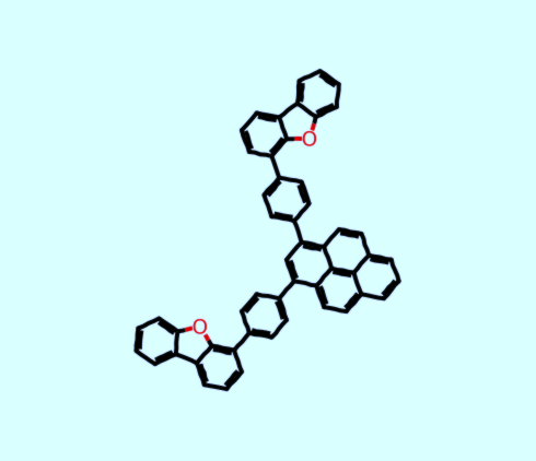 c1cc2ccc3c(-c4ccc(-c5cccc6c5oc5ccccc56)cc4)cc(-c4ccc(-c5cccc6c5oc5ccccc56)cc4)c4ccc(c1)c2c34